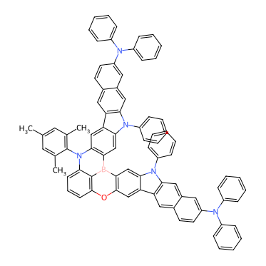 Cc1cc(C)c(N2c3cc4c5cc6ccc(N(c7ccccc7)c7ccccc7)cc6cc5n(-c5ccccc5)c4cc3B3c4cc5c(cc4Oc4cccc2c43)c2cc3ccc(N(c4ccccc4)c4ccccc4)cc3cc2n5-c2ccccc2)c(C)c1